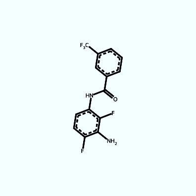 Nc1c(F)ccc(NC(=O)c2cccc(C(F)(F)F)c2)c1F